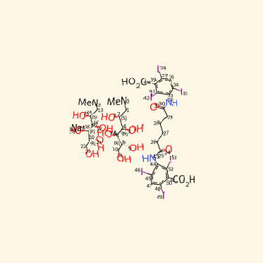 CNC[C@H](O)[C@@H](O)[C@H](O)[C@H](O)CO.CNC[C@H](O)[C@@H](O)[C@H](O)[C@H](O)CO.O=C(CCCCC(=O)Nc1c(I)cc(I)c(C(=O)O)c1I)Nc1c(I)cc(I)c(C(=O)O)c1I.[Na+]